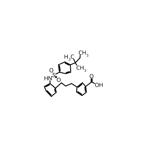 CCC(C)(C)c1ccc(S(=O)(=O)Nc2ccccc2CCCc2cccc(C(=O)O)c2)cc1